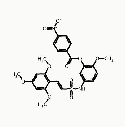 COc1cc(OC)c(C=CS(=O)(=O)Nc2ccc(OC)c(OC(=O)c3ccc([N+](=O)[O-])cc3)c2)c(OC)c1